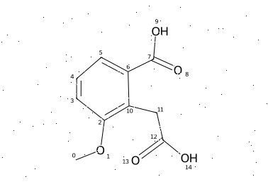 COc1cccc(C(=O)O)c1CC(=O)O